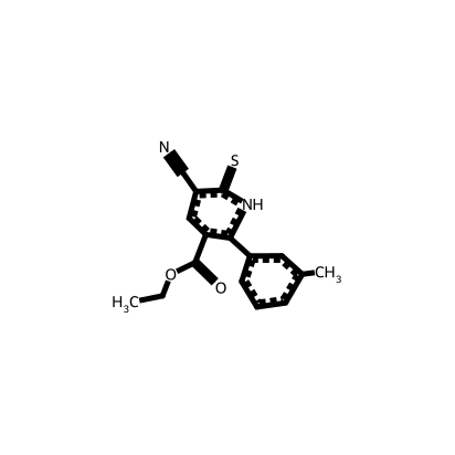 CCOC(=O)c1cc(C#N)c(=S)[nH]c1-c1cccc(C)c1